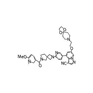 COC1=CC=C(C(=O)N2CCC3(C2)CN(c2ccc(-c4cc(OCCN5CCC6(CC5)OCCO6)cn5ncc(C#N)c45)cn2)C3)CN1C